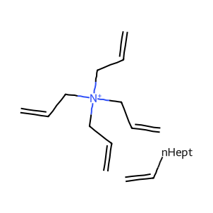 C=CCCCCCCC.C=CC[N+](CC=C)(CC=C)CC=C